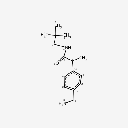 CC(C(=O)NCC(C)(C)C)c1ccc(CN)cc1